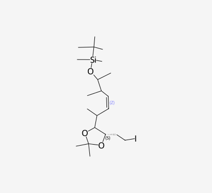 CC(/C=C\C(C)C1OC(C)(C)O[C@H]1CCI)C(C)O[Si](C)(C)C(C)(C)C